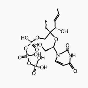 C/C=C/[C@H](O)[C@@](CF)(COP(=O)(O)OP(=O)(O)OP(=O)(O)O)O[C@H](CO)n1ccc(=O)[nH]c1=O